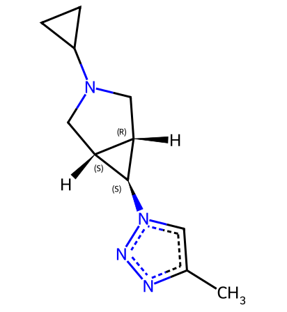 Cc1cn([C@H]2[C@@H]3CN(C4CC4)C[C@@H]32)nn1